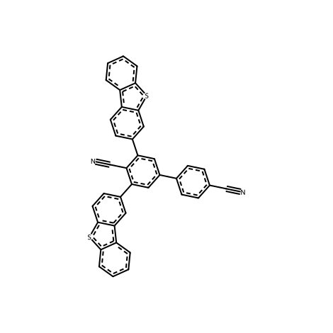 N#Cc1ccc(-c2cc(-c3ccc4c(c3)sc3ccccc34)c(C#N)c(-c3ccc4sc5ccccc5c4c3)c2)cc1